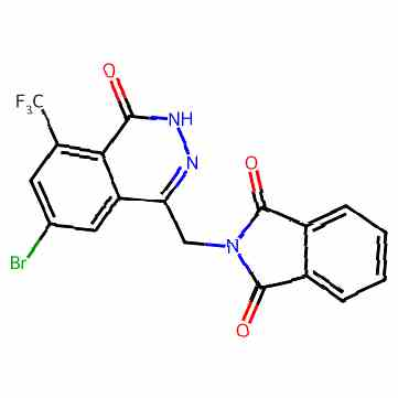 O=C1c2ccccc2C(=O)N1Cc1n[nH]c(=O)c2c(C(F)(F)F)cc(Br)cc12